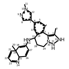 CC1=C2c3ccc(-c4cnn(C)c4)cc3C(NC3=CC4(C)C=CC=NC4C=C3)CCN2NN1